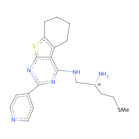 CSCC[C@@H](N)CNc1nc(-c2ccncc2)nc2sc3c(c12)CCCC3